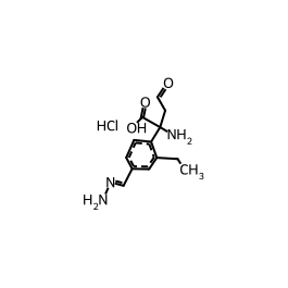 CCc1cc(C=NN)ccc1C(N)(CC=O)C(=O)O.Cl